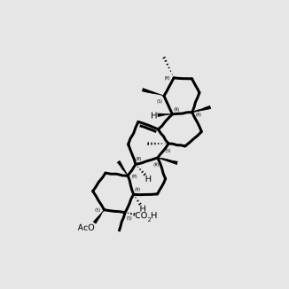 CC(=O)O[C@H]1CC[C@@]2(C)[C@@H](CC[C@]3(C)[C@@H]2CC=C2[C@@H]4[C@@H](C)[C@H](C)CC[C@]4(C)CC[C@]23C)[C@]1(C)C(=O)O